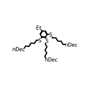 CCCCCCCCCCCCCCCSc1cc(CC)cc(SCCCCCCCCCCCCCCC)c1SCCCCCCCCCCCCCCC